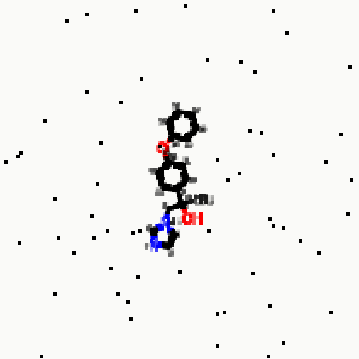 CC(C)(C)C(O)(Cn1ccnc1)c1ccc(Oc2ccccc2)cc1